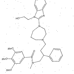 COc1cc(C(=O)N(C)CC(CCN2CCCN(c3nc4ccccc4n3CCO)CC2)c2ccccc2)cc(OC)c1OC